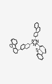 C1=CC2c3ccccc3SC2C(c2nc(-c3ccc4c(ccc5ccccc54)c3)nc(C3C=Cc4cc(-c5cccc6oc7ccccc7c56)ccc4C3)n2)=C1